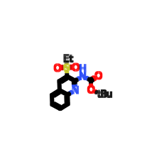 CCS(=O)(=O)c1cc2ccccc2nc1NC(=O)OC(C)(C)C